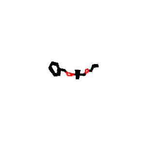 C=CCOCC(C)(C)OCc1ccccc1